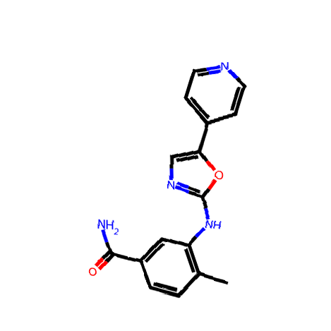 Cc1ccc(C(N)=O)cc1Nc1ncc(-c2ccncc2)o1